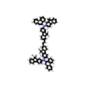 CC1(C)c2ccccc2-c2ccc(N(c3ccc4c(c3)C(C)(C)c3cc(/C=C/c5ccc6c(c5)C(C)(C)c5cc(N(c7ccc8c(c7)C(C)(C)c7ccccc7-8)c7cc8ccccc8c8ccccc78)ccc5-6)ccc3-4)c3cc4ccccc4c4ccccc34)cc21